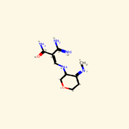 C/N=C1/CCOCC1N/C=C(\C(=N)N)C(N)=O